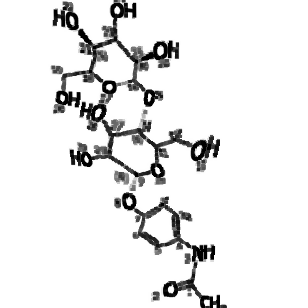 CC(=O)Nc1ccc(O[C@H]2OC(CO)[C@@H](OC3OC(CO)[C@@H](O)C(O)[C@H]3O)C(O)C2O)cc1